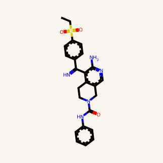 CCS(=O)(=O)c1ccc(C(=N)c2c(N)ncc3c2CCN(C(=O)Nc2ccccc2)C3)cc1